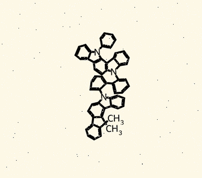 CC1(C)c2ccccc2-c2ccc3c(c21)c1ccccc1n3-c1ccccc1-c1ccccc1-n1c2ccccc2c2c1ccc1c3ccccc3n(-c3ccccc3)c12